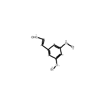 CCOc1cc(C=C[C]=O)cc(OCC)c1